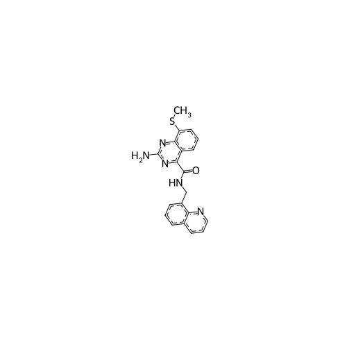 CSc1cccc2c(C(=O)NCc3cccc4cccnc34)nc(N)nc12